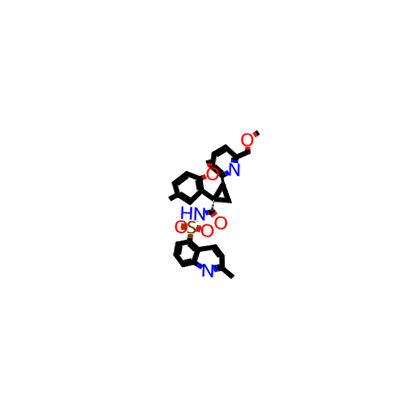 COCc1cccc([C@H]2C[C@@]2(C(=O)NS(=O)(=O)c2cccc3nc(C)ccc23)c2cc(C)ccc2OC)n1